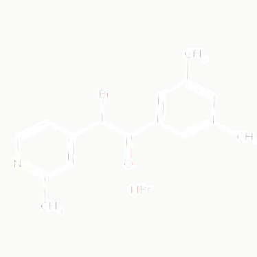 Br.Cc1cc(C)cc(C(=O)C(Br)c2ccnc(C)c2)c1